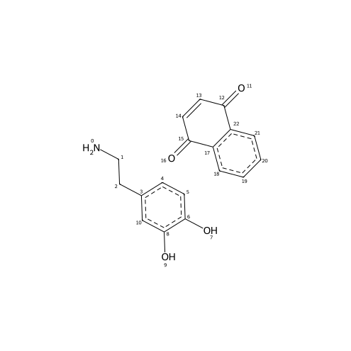 NCCc1ccc(O)c(O)c1.O=C1C=CC(=O)c2ccccc21